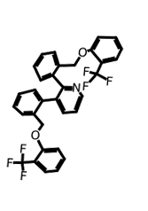 FC(F)(F)c1ccccc1OCc1ccccc1-c1cccnc1-c1ccccc1COc1ccccc1C(F)(F)F